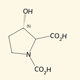 O=C(O)C1[C@@H](O)CCN1C(=O)O